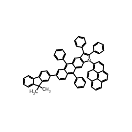 CC1(C)c2ccccc2-c2ccc(-c3ccc4c(-c5ccccc5)c5cc6c(cc5c(-c5ccccc5)c4c3)c(-c3ccccc3)c(-c3ccccc3)n6-c3ccc4ccc5cccc6ccc3c4c56)cc21